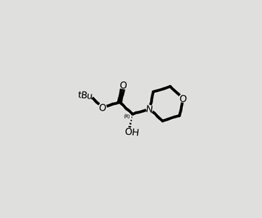 CC(C)(C)OC(=O)[C@@H](O)N1CCOCC1